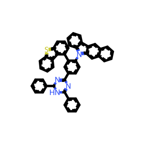 c1ccc(C2=NC(c3ccc(-n4c5ccccc5c5cc6ccccc6cc54)c(-c4cccc5sc6ccccc6c45)c3)=NC(c3ccccc3)N2)cc1